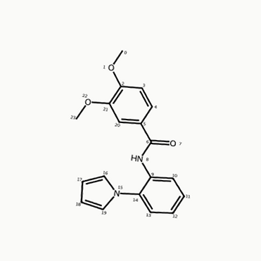 COc1ccc(C(=O)Nc2ccccc2-n2cccc2)cc1OC